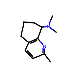 Cc1ccc2c(n1)C(N(C)C)CCC2